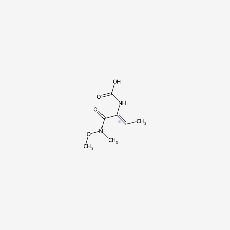 C/C=C(\NC(=O)O)C(=O)N(C)OC